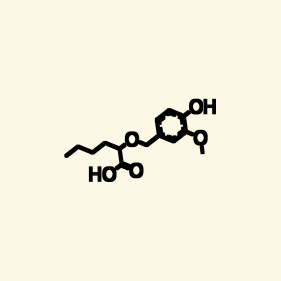 CCCCC(OCc1ccc(O)c(OC)c1)C(=O)O